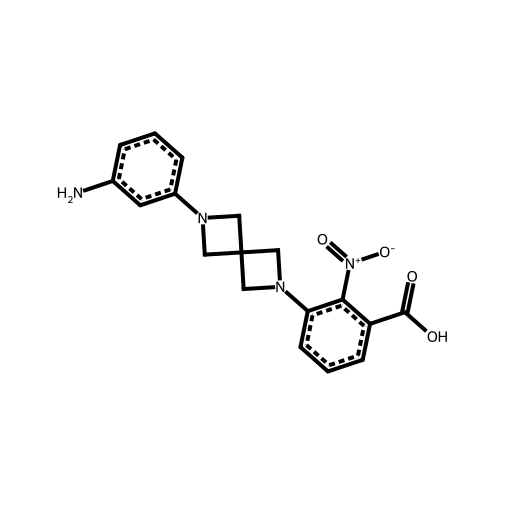 Nc1cccc(N2CC3(C2)CN(c2cccc(C(=O)O)c2[N+](=O)[O-])C3)c1